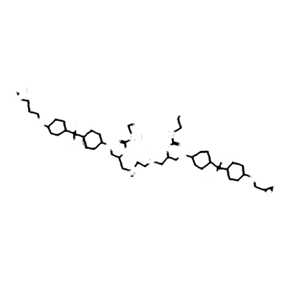 CCCNC(=O)OC(CNCCN(C)CC(COC1CCC(C(C)(C)C2CCC(OCCCOC)CC2)CC1)OC(=O)NCC)COC1CCC(C(C)(C)C2CCC(OCC3CO3)CC2)CC1